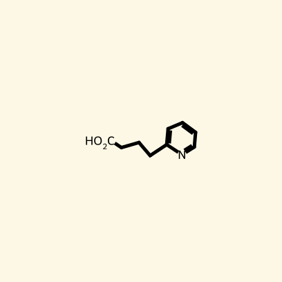 O=C(O)CCCc1ccccn1